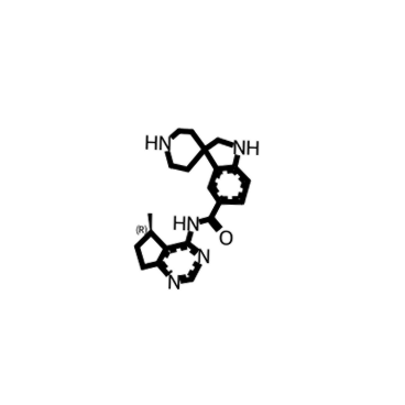 C[C@@H]1CCc2ncnc(NC(=O)c3ccc4c(c3)C3(CCNCC3)CN4)c21